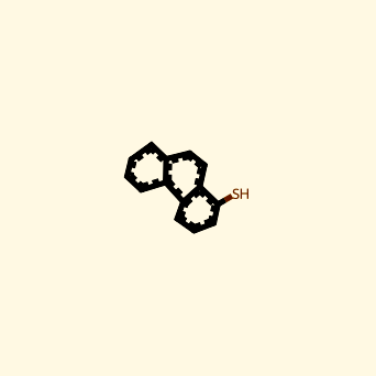 Sc1cccc2c1ccc1ccccc12